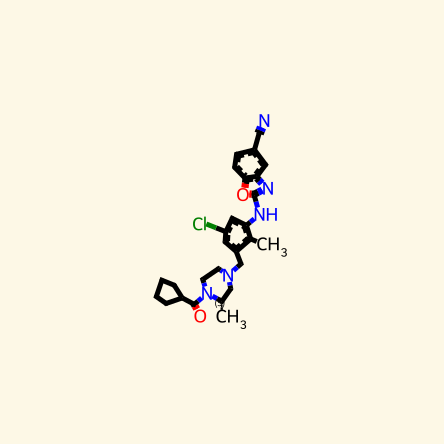 Cc1c(CN2CCN(C(=O)C3CCCC3)[C@@H](C)C2)cc(Cl)cc1Nc1nc2cc(C#N)ccc2o1